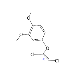 COc1ccc(O/C(Cl)=C\Cl)cc1OC